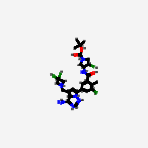 Cc1c(F)cc(-c2cc(CN3CC(F)(F)C3)c3c(N)ncnn23)cc1C(=O)NC1CN(C(=O)OC(C)(C)C)CC1F